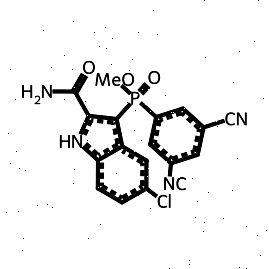 [C-]#[N+]c1cc(C#N)cc(P(=O)(OC)c2c(C(N)=O)[nH]c3ccc(Cl)cc23)c1